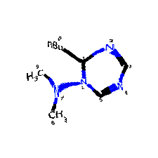 CCCCC1N=CN=CN1N(C)C